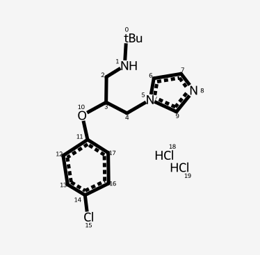 CC(C)(C)NCC(Cn1ccnc1)Oc1ccc(Cl)cc1.Cl.Cl